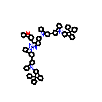 c1ccc(C2(c3ccccc3)c3ccccc3-c3ccc(-n4c5ccccc5c5cc(-c6ccc7c(c6)c6ccccc6n7-c6ccc7c(ccc8nc(-n9c%10ccccc%10c%10cc(-c%11ccc%12c(c%11)c%11ccccc%11n%12-c%11ccc%12c(c%11)C(c%11ccccc%11)(c%11ccccc%11)c%11ccccc%11-%12)ccc%109)nc(-c9ccc%10oc%11ccccc%11c%10c9)c87)c6)ccc54)cc32)cc1